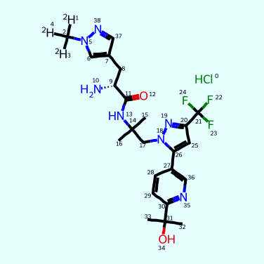 Cl.[2H]C([2H])([2H])n1cc(C[C@@H](N)C(=O)NC(C)(C)Cn2nc(C(F)(F)F)cc2-c2ccc(C(C)(C)O)nc2)cn1